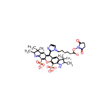 CC1N=c2c(cc3c(c2S(=O)(=O)O)Oc2c(cc4c(c2S(=O)(=O)O)NC(C)C4(C)C)C=3c2nccn2CCCCCC(=O)ON2C(=O)CCC2=O)C1(C)C